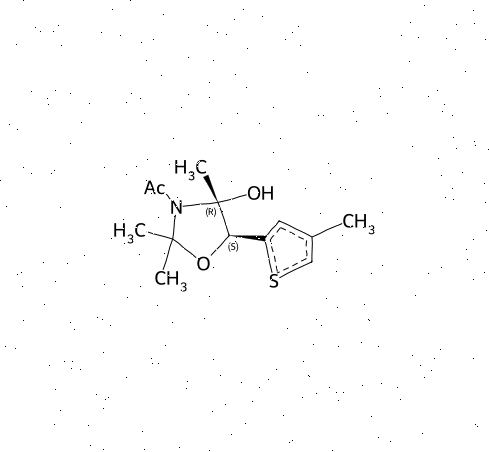 CC(=O)N1C(C)(C)O[C@H](c2cc(C)cs2)[C@@]1(C)O